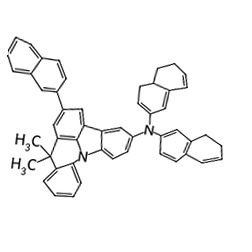 CC1(C)c2ccccc2-n2c3ccc(N(C4=CCC5CCC=CC5=C4)c4ccc5c(c4)CCC=C5)cc3c3cc(-c4ccc5ccccc5c4)cc1c32